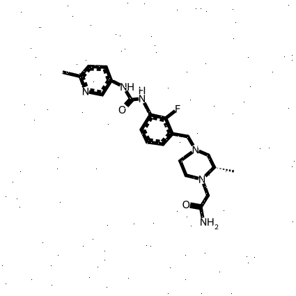 Cc1ccc(NC(=O)Nc2cccc(CN3CCN(CC(N)=O)[C@@H](C)C3)c2F)cn1